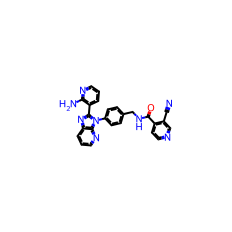 N#Cc1cnccc1C(=O)NCc1ccc(-n2c(-c3cccnc3N)nc3cccnc32)cc1